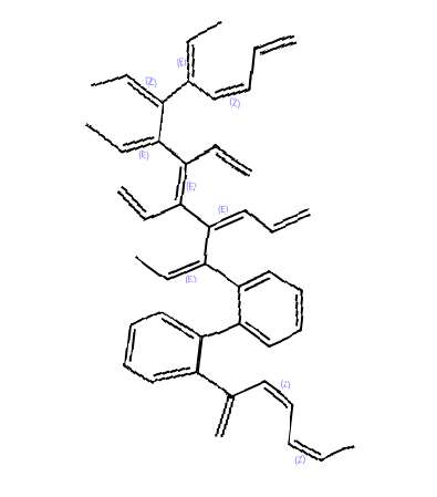 C=C\C=C/C(=C\C)C(=C/C)/C(=C\C)C(/C=C)=C(C=C)/C(=C/C=C)C(=C\C)/c1ccccc1-c1ccccc1C(=C)/C=C\C=C/C